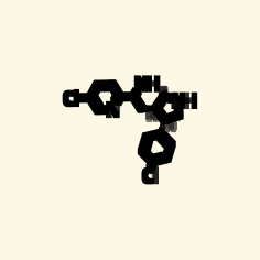 NC(C[C@H]1CNC[C@@H]1c1ccc(Cl)cc1)c1ccc(Cl)cn1